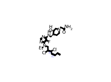 C=C/C=C\C(Cl)=C(/Cl)CN(CC)c1ncnc(NC[C@@H]2CCN(CC(N)=O)C[C@H]2O)c1F